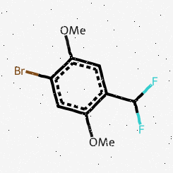 COc1cc(C(F)F)c(OC)cc1Br